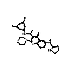 CC(Nc1cc(F)cc(F)c1)c1c(N2CCOCC2)oc2ccc(NC3=NCCN3)cc2c1=O